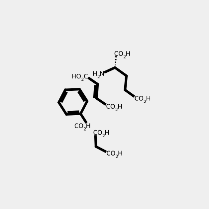 N[C@@H](CCC(=O)O)C(=O)O.O=C(O)/C=C/C(=O)O.O=C(O)CC(=O)O.O=C(O)c1ccccc1